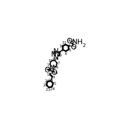 NS(=O)(=O)c1ccc(-c2cn(C3CCN(S(=O)(=O)/C=C/c4ccccc4)CC3)nn2)cc1